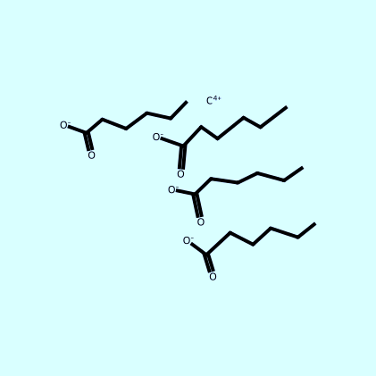 CCCCCC(=O)[O-].CCCCCC(=O)[O-].CCCCCC(=O)[O-].CCCCCC(=O)[O-].[C+4]